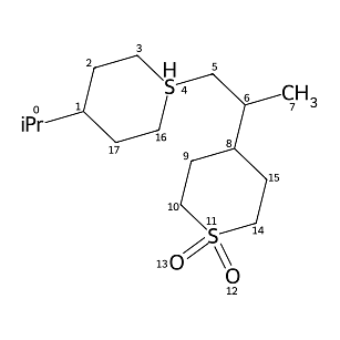 CC(C)C1CC[SH](CC(C)C2CCS(=O)(=O)CC2)CC1